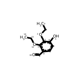 CCOc1c(O)ccc(C=O)c1OCC